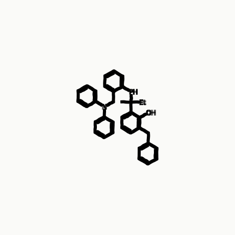 CCC(C)(Pc1ccccc1CN(c1ccccc1)c1ccccc1)c1cccc(Cc2ccccc2)c1O